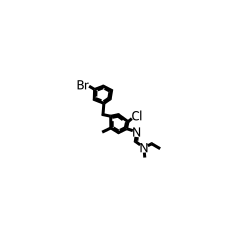 CCN(C)C=Nc1cc(C)c(Cc2cccc(Br)c2)cc1Cl